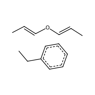 CC=COC=CC.CCc1ccccc1